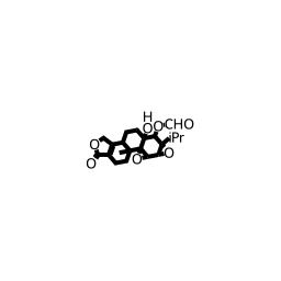 CC(C)C12OC1C1OC13C1(C)CCC4=C(COC4=O)C1CCC3(O)C2OC=O